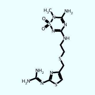 CN1C(N)=NC(NCCSCc2csc(N=C(N)N)n2)=NS1(=O)=O